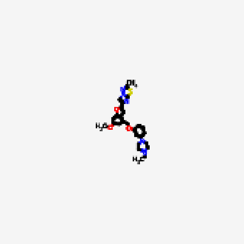 CCN1CCN(c2cccc(OCc3cc(OC)cc4oc(-c5cn6nc(C)sc6n5)cc34)c2)CC1